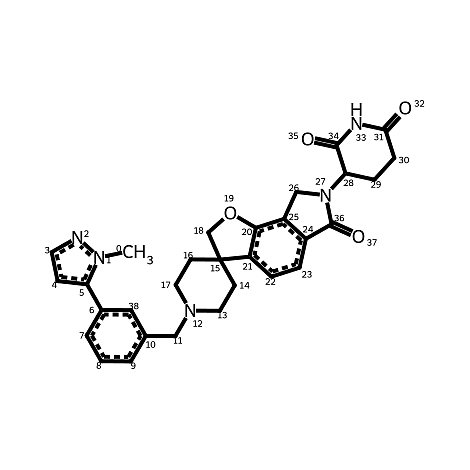 Cn1nccc1-c1cccc(CN2CCC3(CC2)COc2c3ccc3c2CN(C2CCC(=O)NC2=O)C3=O)c1